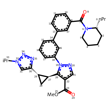 CCC[C@@H]1CCCCN1C(=O)c1cccc(-c2cccc(-n3ncc(C(=O)OC)c3[C@H]3C[C@@H]3c3cn(C(C)C)nn3)c2)c1